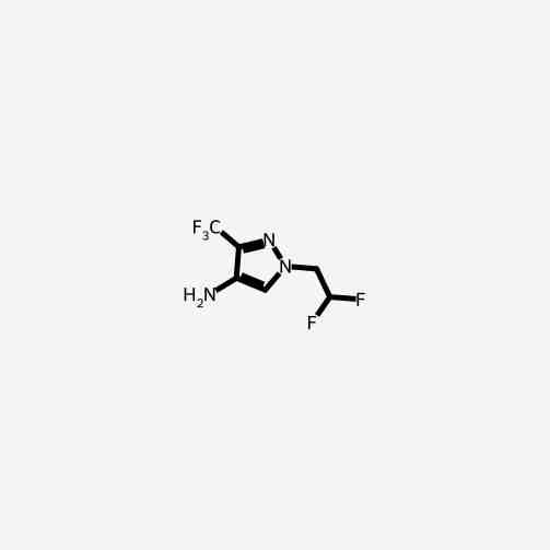 Nc1cn(CC(F)F)nc1C(F)(F)F